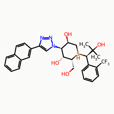 CC(C)(O)[C@@H](c1ccccc1C(F)(F)F)[SH]1C[C@H](O)[C@H](n2cc(-c3ccc4ccccc4c3)nn2)[C@@H](O)[C@H]1CO